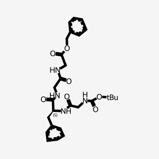 CC(C)(C)OC(=O)NCC(=O)N[C@@H](Cc1ccccc1)C(=O)NCC(=O)NCC(=O)OCc1ccccc1